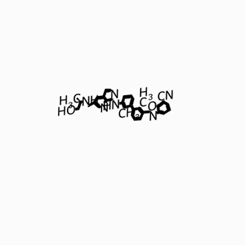 Cc1c(Nc2nccc3cc(CN[C@H](C)CO)cnc23)cccc1-c1cccc(-c2nc3cccc(C#N)c3o2)c1C